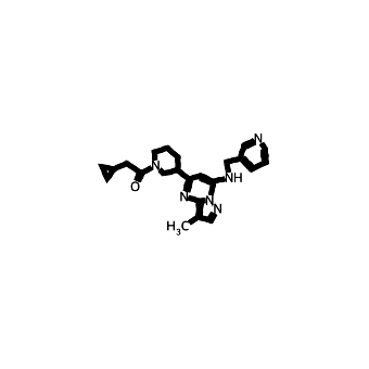 Cc1cnn2c(NCc3cccnc3)cc(C3CCCN(C(=O)CC4CC4)C3)nc12